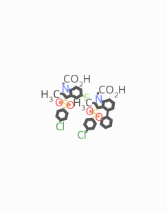 Cc1c(S(=O)(=O)c2ccc(Cl)cc2)c2c(-c3ccccc3)cccc2n1CC(=O)O.Cc1c(S(=O)(=O)c2ccc(Cl)cc2)c2cc(F)ccc2n1CC(=O)O